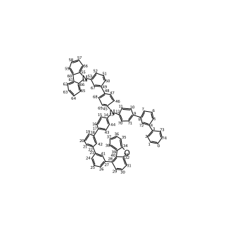 c1ccc(-c2cccc(-c3ccc(N(c4ccc(-c5cccc(-c6cccc(-c7cccc8oc9ccccc9c78)c6)c5)cc4)c4ccc(-c5cccc(-n6c7ccccc7c7ccccc76)c5)cc4)cc3)c2)cc1